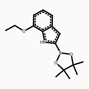 CCOc1cccc2cc(B3OC(C)(C)C(C)(C)O3)[nH]c12